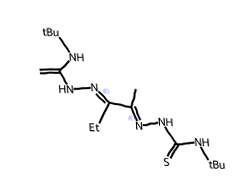 C=C(N/N=C(CC)/C(C)=N/NC(=S)NC(C)(C)C)NC(C)(C)C